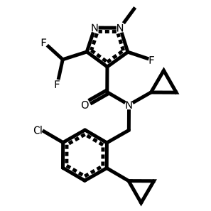 Cn1nc(C(F)F)c(C(=O)N(Cc2cc(Cl)ccc2C2CC2)C2CC2)c1F